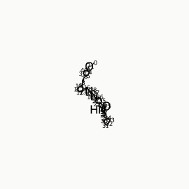 CCOc1ccc(C#Cc2ccccc2CN2CCN(c3ccc(C(=O)NSCc4ccccc4)cc3)CC2)cc1